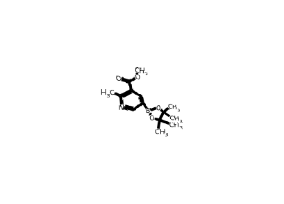 COC(=O)c1cc(B2OC(C)(C)C(C)(C)O2)cnc1C